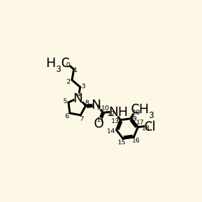 CCCCN1CCCC1=NC(=O)Nc1cccc(Cl)c1C